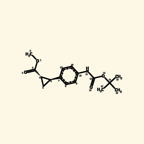 COC(=O)[C@H]1C[C@@H]1c1ccc(NC(=O)OC(C)(C)C)cc1